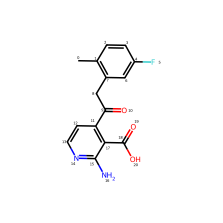 Cc1ccc(F)cc1CC(=O)c1ccnc(N)c1C(=O)O